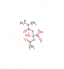 CC(=O)C[C@@](O)(CC(=O)C(C)C)C(=O)O